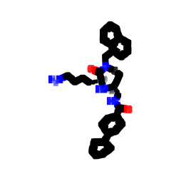 NCCCC[C@H]1N[C@@H](CNC(=O)c2ccc(-c3ccccc3)cc2)CCN(Cc2cccc3ccccc23)C1=O